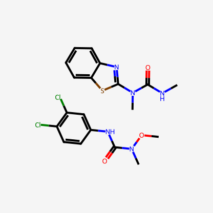 CNC(=O)N(C)c1nc2ccccc2s1.CON(C)C(=O)Nc1ccc(Cl)c(Cl)c1